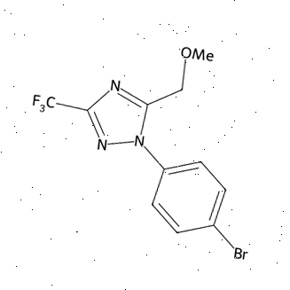 COCc1nc(C(F)(F)F)nn1-c1ccc(Br)cc1